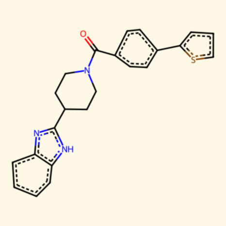 O=C(c1ccc(-c2cccs2)cc1)N1CCC(c2nc3ccccc3[nH]2)CC1